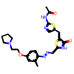 CC(=O)Nc1ncc(/C=c2\s/c(=C\N=Nc3ccc(OCCN4CCCC4)cc3C)[nH]c2=O)s1